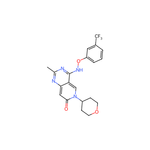 Cc1nc(NOc2cccc(C(F)(F)F)c2)c2cn(C3CCOCC3)c(=O)cc2n1